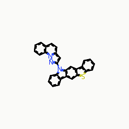 c1ccc2c(c1)ccc1cc(-n3c4ccccc4c4cc5sc6ccccc6c5cc43)nn12